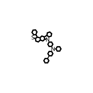 c1ccc(-c2ccc(N(c3ccccc3)c3ccc(-n4c5ccccc5c5cc6c(ccc7sc8ccccc8c76)cc54)cc3)cc2)cc1